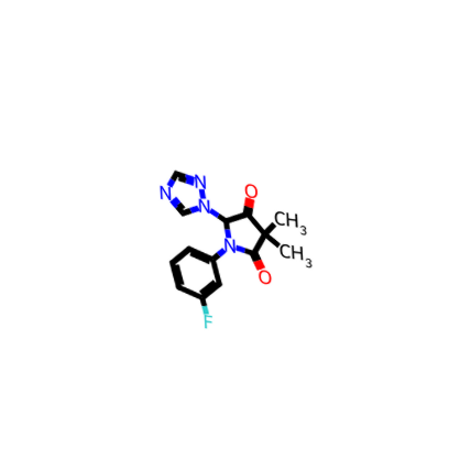 CC1(C)C(=O)C(n2cncn2)N(c2cccc(F)c2)C1=O